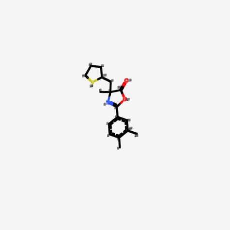 Cc1ccc(C2=NC(C)(CC3CCCS3)C(=O)O2)cc1C